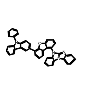 c1ccc(-n2c3ccccc3c3cc(-c4cccc5c4oc4cccc(-n6c7ccccc7n7c8ccccc8nc67)c45)ccc32)cc1